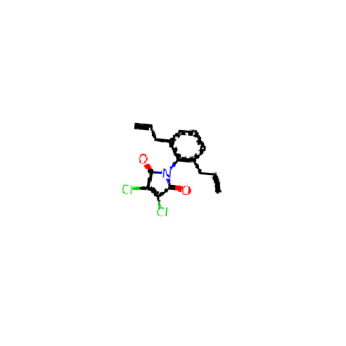 C=CCc1cccc(CC=C)c1N1C(=O)C(Cl)=C(Cl)C1=O